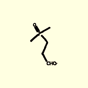 CP(C)(=O)CC[C]=O